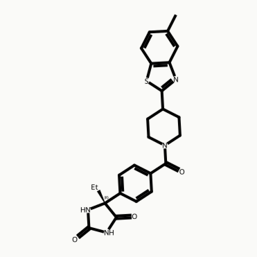 CC[C@]1(c2ccc(C(=O)N3CCC(c4nc5cc(C)ccc5s4)CC3)cc2)NC(=O)NC1=O